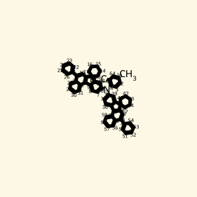 Cc1ccc(N(c2ccc3c(c2)C2(CCCCC2)c2cc(-c4ccccc4)c4ccccc4c2-3)c2ccc3c(c2)C2(CCCCC2)c2cc(-c4ccccc4)c4ccccc4c2-3)c(C)c1